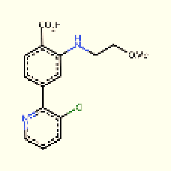 COCCNc1cc(-c2ncccc2Cl)ccc1C(=O)O